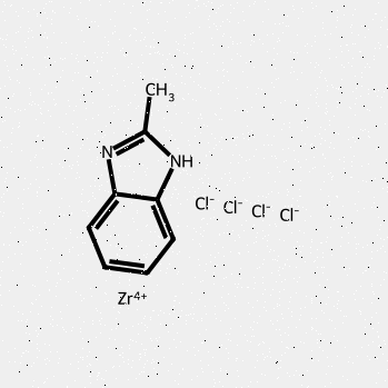 Cc1nc2ccccc2[nH]1.[Cl-].[Cl-].[Cl-].[Cl-].[Zr+4]